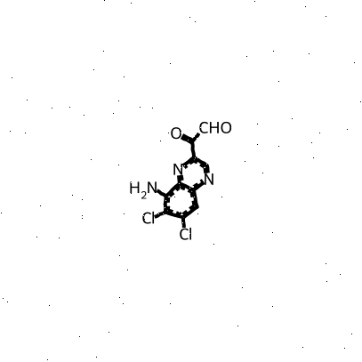 Nc1c(Cl)c(Cl)cc2ncc(C(=O)C=O)nc12